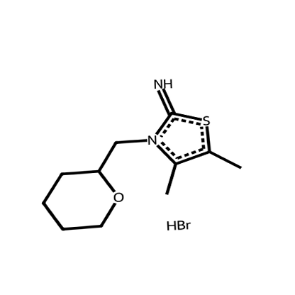 Br.Cc1sc(=N)n(CC2CCCCO2)c1C